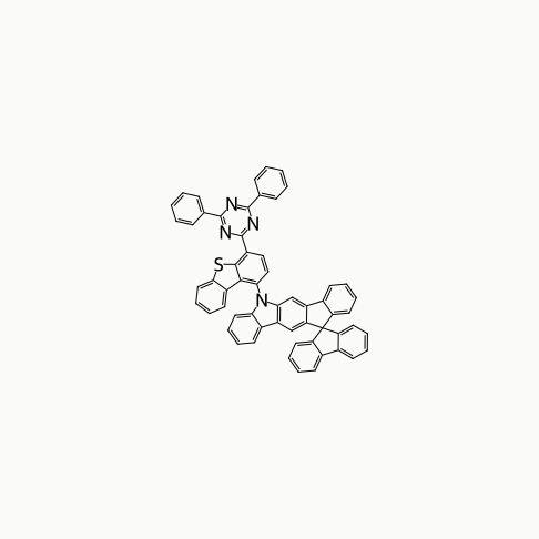 c1ccc(-c2nc(-c3ccccc3)nc(-c3ccc(-n4c5ccccc5c5cc6c(cc54)-c4ccccc4C64c5ccccc5-c5ccccc54)c4c3sc3ccccc34)n2)cc1